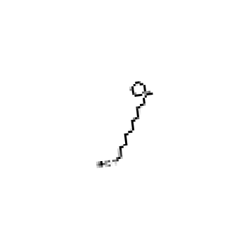 CCCCCCCCCCCCCCCCCC[N+]1(C)CCCC1